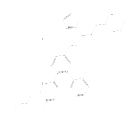 CSCC[C@H](NC(=O)c1ccc(COC(CCC2CCCCC2)c2ccco2)cc1-c1ccccc1C)C(=O)O.[LiH]